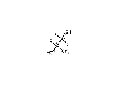 CC(C)(S)C(C)(O)C(F)(F)F